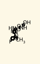 Cn1nc(-c2cnc3[nH]cc(OC(=O)N[C@H]4C[C@H](O)C4)c3n2)c2ccc(F)cc21